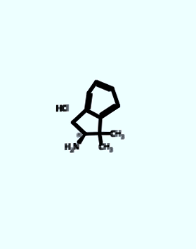 CC1(C)c2ccccc2C[C@@H]1N.Cl